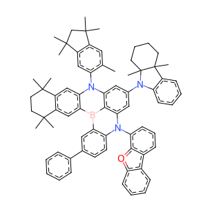 Cc1cc2c(cc1N1c3cc4c(cc3B3c5cc(-c6ccccc6)ccc5N(c5cccc6c5oc5ccccc56)c5cc(N6c7ccccc7C7(C)CCCCC67C)cc1c53)C(C)(C)CCC4(C)C)C(C)(C)CC2(C)C